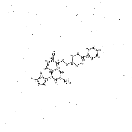 Cc1ccc(-c2nc(N)nc3c2ncc(=O)n3CCC2CCN(c3ccccc3)CC2)o1